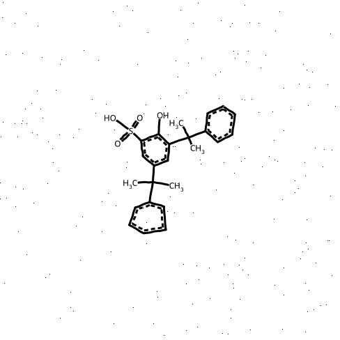 CC(C)(c1ccccc1)c1cc(C(C)(C)c2ccccc2)c(O)c(S(=O)(=O)O)c1